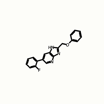 Fc1ccccc1-c1cnc2nc(COc3ccccc3)[nH]c2c1